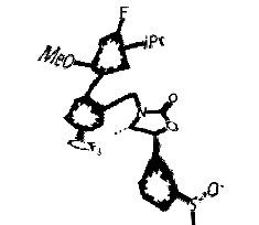 COc1cc(F)c(C(C)C)cc1-c1ccc(C(F)(F)F)cc1CN1C(=O)O[C@@H](c2cccc([S+](C)[O-])c2)[C@@H]1C